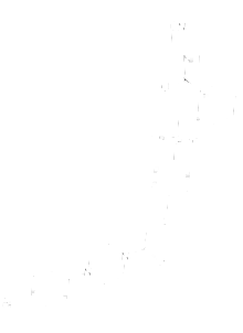 N#CCNC(=O)[C@H]1CCCC[C@@H]1CS(=O)(=O)c1ccc(SCC(=O)N2CCN(c3ccc(Br)cc3)CC2)cc1